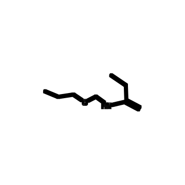 C=C(CC)NCOCCC